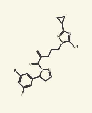 C=C(CCCn1nc(C2CC2)nc1C#N)C(=O)N1N=CCC1c1cc(F)cc(F)c1